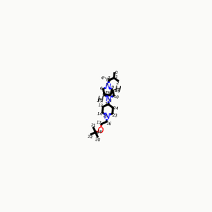 CC(C)[C@@H](C)N1C[C@H]2C[C@@H]1CN2C1CCN(CCOC(C)(C)C)CC1